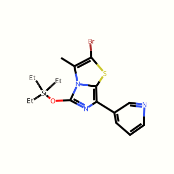 CC[Si](CC)(CC)Oc1nc(-c2cccnc2)c2sc(Br)c(C)n12